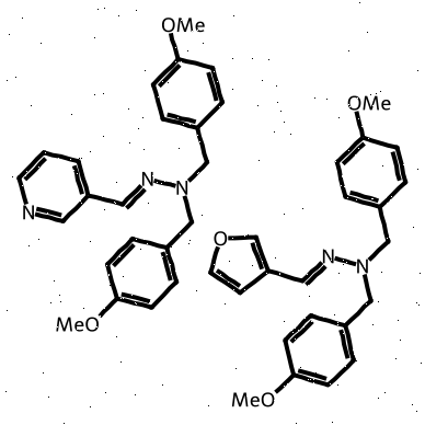 COc1ccc(CN(Cc2ccc(OC)cc2)/N=C/c2cccnc2)cc1.COc1ccc(CN(Cc2ccc(OC)cc2)/N=C/c2ccoc2)cc1